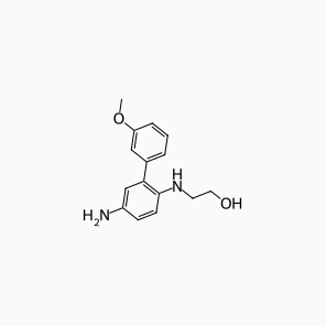 COc1cccc(-c2cc(N)ccc2NCCO)c1